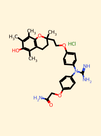 Cc1c(C)c2c(c(C)c1O)CCC(C)(CCOc1ccc(N(C(=N)N)c3ccc(OCC(N)=O)cc3)cc1)O2.Cl